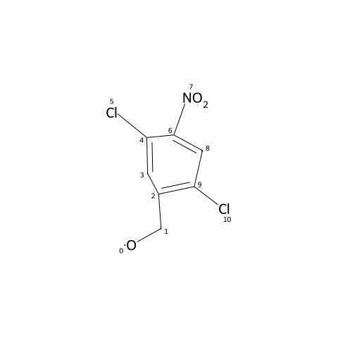 [O]Cc1cc(Cl)c([N+](=O)[O-])cc1Cl